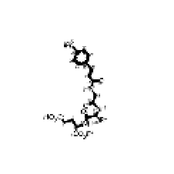 CCOC(=O)[C@@H](CCC(=O)O)NC(=O)[C@@H](NC(=O)CNC(=O)/C=C/c1ccc(C(C)C)cc1)C(C)C